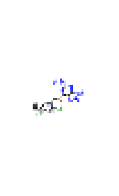 C=C(Cl)/C=C(Cl)\C(=C/C)CSc1nc(N)nc2[nH]nnc12